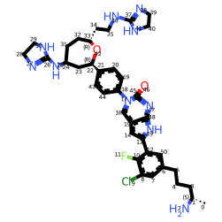 C[C@H](N)CCCc1cc(Cl)c(F)c(-c2cc3cn(-c4ccc([C@H]5CC(NC6=NCCN6)CC[C@H](CCNC6=NCCN6)O5)cc4)c(=O)nc3[nH]2)c1